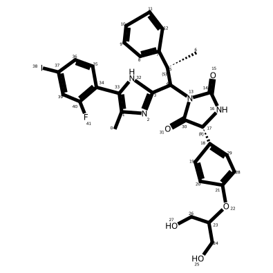 Cc1nc(C([C@@H](C)c2ccccc2)N2C(=O)N[C@H](c3ccc(OC(CO)CO)cc3)C2=O)[nH]c1-c1ccc(I)cc1F